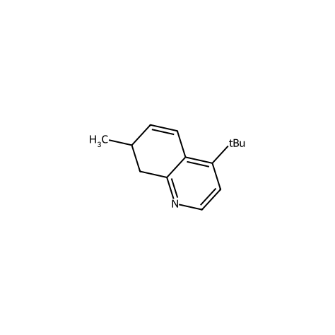 CC1C=Cc2c(C(C)(C)C)ccnc2C1